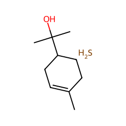 CC1=CCC(C(C)(C)O)CC1.S